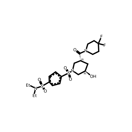 CCN(CC)S(=O)(=O)c1ccc(S(=O)(=O)N2C[C@H](O)C[C@@H](C(=O)N3CCC(F)(F)CC3)C2)cc1